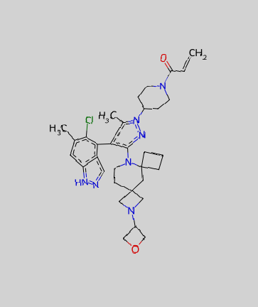 C=CC(=O)N1CCC(n2nc(N3CCC4(CN(C5COC5)C4)CC34CCC4)c(-c3c(Cl)c(C)cc4[nH]ncc34)c2C)CC1